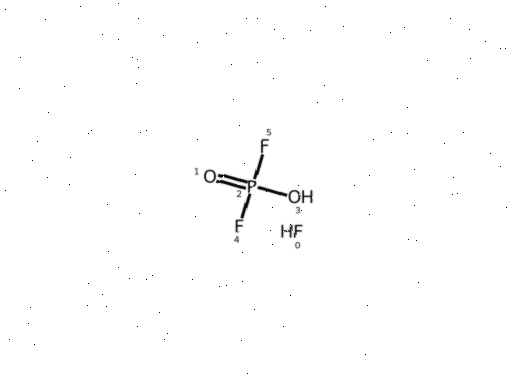 F.O=P(O)(F)F